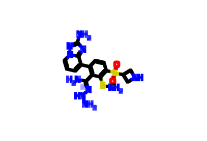 NN/N=C(\N)c1c(-c2cccn3nc(N)nc23)ccc(S(=O)(=O)C2CNC2)c1SN